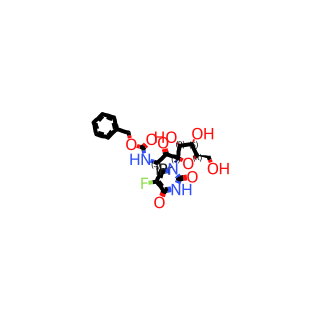 CC(C)[C@H](NC(=O)OCc1ccccc1)C(=O)[C@@]1(n2cc(F)c(=O)[nH]c2=O)O[C@H](CO)[C@@H](O)[C@H]1O